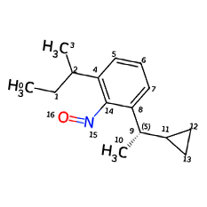 CCC(C)c1cccc([C@@H](C)C2CC2)c1N=O